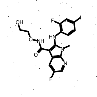 Cn1c(Nc2ccc(I)cc2F)c(C(=O)NOCCO)c2cc(F)cnc21